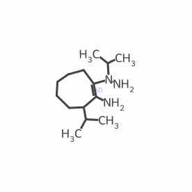 CC(C)C1CCCCC/C(N(N)C(C)C)=C\1N